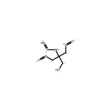 N=NNC(CO)(CN=O)CN=O